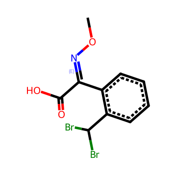 CO/N=C(/C(=O)O)c1ccccc1C(Br)Br